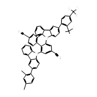 Cc1ccc(-c2ccc3c(c2)c2ccccc2n3-c2cc(C#N)cc(-n3c4ccccc4c4cc(-c5ccc(C(F)(F)F)cc5C(F)(F)F)ccc43)c2-c2ccc(C#N)cc2C)c(C)c1